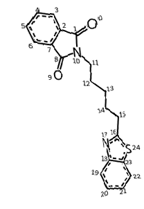 O=C1c2ccccc2C(=O)N1CCCCCc1nc2ccccc2s1